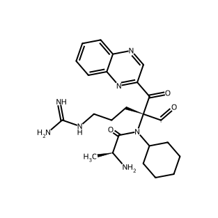 C[C@H](N)C(=O)N(C1CCCCC1)[C@]([C]=O)(CCCNC(=N)N)C(=O)c1cnc2ccccc2n1